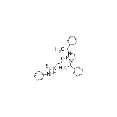 CC(c1ccccc1)N1CCN(C(C)c2ccccc2)P1OCCNC(=S)Nc1ccccc1